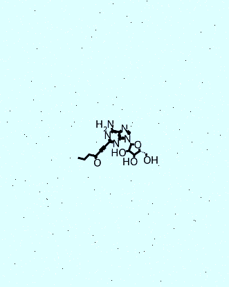 CCCC(=O)C#Cc1nc(N)c2ncn([C@@H]3O[C@H](CO)C(O)C3O)c2n1